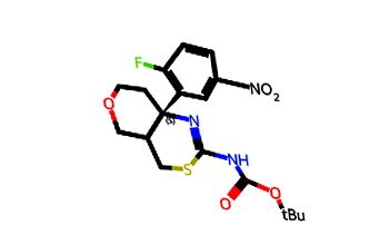 CC(C)(C)OC(=O)NC1=N[C@@]2(c3cc([N+](=O)[O-])ccc3F)CCOCC2CS1